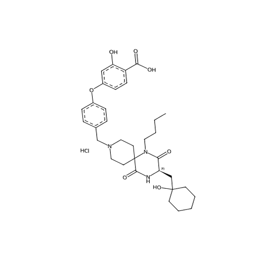 CCCCN1C(=O)[C@@H](CC2(O)CCCCC2)NC(=O)C12CCN(Cc1ccc(Oc3ccc(C(=O)O)c(O)c3)cc1)CC2.Cl